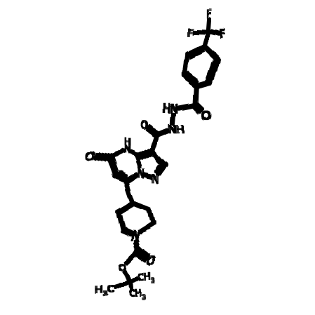 CC(C)(C)OC(=O)N1CCC(c2cc(=O)[nH]c3c(C(=O)NNC(=O)c4ccc(C(F)(F)F)cc4)cnn23)CC1